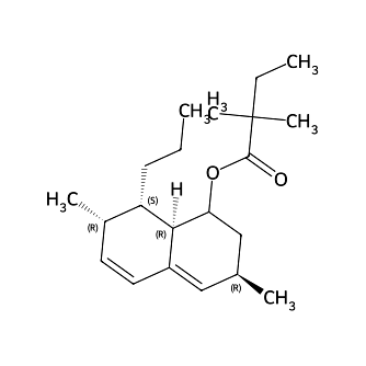 CCC[C@@H]1[C@@H]2C(=C[C@H](C)CC2OC(=O)C(C)(C)CC)C=C[C@@H]1C